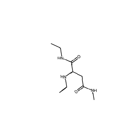 CCNC(=O)C(CC(=O)NC)NCC